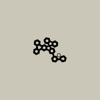 c1ccc2c(c1)-c1ccccc1C21c2ccc(-c3cccc4c3oc3ccccc34)cc2-c2cc3c4ccccc4c4ccccc4c3cc21